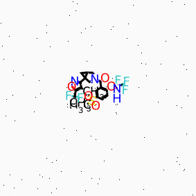 Cc1c(C23CC2CN(C(=O)c2cc(S(C)(=O)=O)ccc2ONC(F)(F)F)C3)noc1C(C)(F)F